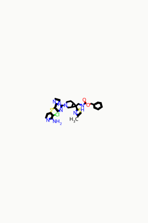 Cc1csc(C2(CNC(=O)OCc3ccccc3)C3CCN(c4ncc(Sc5ccnc(N)c5Cl)c5nccn45)CC32)n1